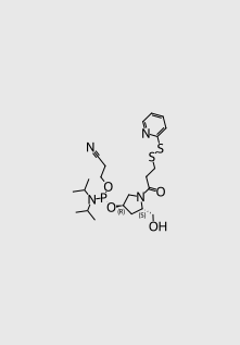 CC(C)N(C(C)C)P(OCCC#N)O[C@@H]1C[C@@H](CO)N(C(=O)CCSSc2ccccn2)C1